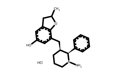 CC1Cc2cc(O)cc(C[C@@H]3CCCN(N)[C@@H]3c3ccccc3)c2O1.Cl